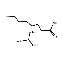 CCCCCCC(CCCC)C(=O)O.CCCCCCCC(=O)O